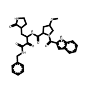 COC1CC(C(=O)NC(CC2CCNC2=O)C(=O)C(=O)NCc2ccccc2)N(C(=O)c2cc3ccccc3[nH]2)C1